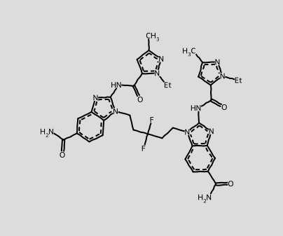 CCn1nc(C)cc1C(=O)Nc1nc2cc(C(N)=O)ccc2n1CCC(F)(F)CCn1c(NC(=O)c2cc(C)nn2CC)nc2cc(C(N)=O)ccc21